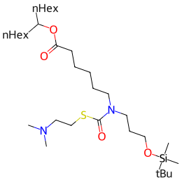 CCCCCCC(CCCCCC)OC(=O)CCCCCN(CCCO[Si](C)(C)C(C)(C)C)C(=O)SCCN(C)C